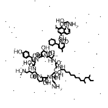 CCC(C)CC(C)CCCCCCCCC(=O)N[C@H]1C[C@@H](O)[C@H](NCCN)NC(=O)[C@@H]2[C@@H](O)CCN2C(=O)[C@H]([C@@H](O)CCN)NC(=O)[C@H]([C@H](O)[C@@H](O)c2ccc(O)cc2)NC(=O)[C@@H]2C[C@@H](O)CN2C(=O)[C@H]([C@@H](C)O)NC1=O.Cc1cc(C2CCCCC2)n(O)c(=O)c1.NCCO.Oc1c(I)cc(Cl)c2cccnc12